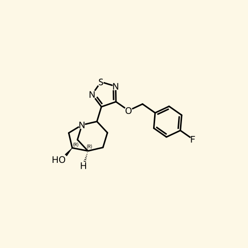 O[C@H]1CN2C[C@H]1CCC2c1nsnc1OCc1ccc(F)cc1